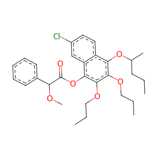 CCCOc1c(OCCC)c(OC(C)CCC)c2ccc(Cl)cc2c1OC(=O)C(OC)c1ccccc1